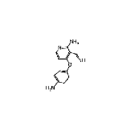 N=Cc1c(OC2=CC=C(N)CC2)ccnc1N